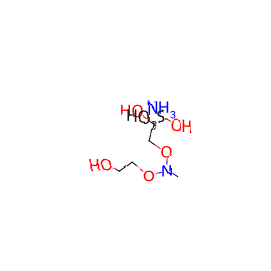 CN(OCCO)OCCO.N.O=S(=O)(O)O